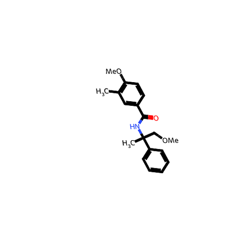 COCC(C)(NC(=O)c1ccc(OC)c(C)c1)c1ccccc1